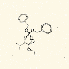 CCOC(=O)C(OP(=O)(OCc1ccccc1)OCc1ccccc1)C(C)C